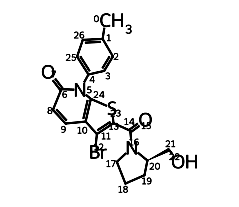 Cc1ccc(-n2c(=O)ccc3c(Br)c(C(=O)N4CCC[C@@H]4CO)sc32)cc1